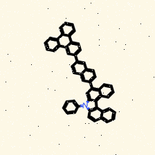 c1ccc(-n2c3ccc4ccccc4c3c3c4ccccc4c(-c4ccc5cc(-c6ccc7c8ccccc8c8ccccc8c7c6)ccc5c4)cc32)cc1